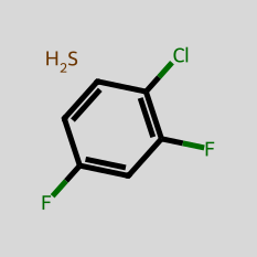 Fc1ccc(Cl)c(F)c1.S